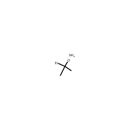 CCC(C)(C)Cl.[SiH4]